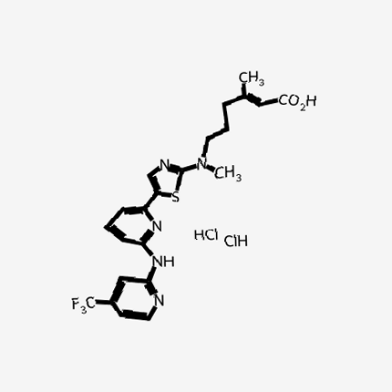 CC(=CC(=O)O)CCCN(C)c1ncc(-c2cccc(Nc3cc(C(F)(F)F)ccn3)n2)s1.Cl.Cl